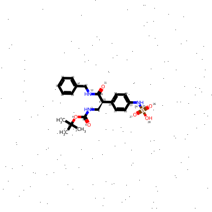 CC(C)(C)OC(=O)NC[C@@H](C(=O)NCc1ccccc1)c1ccc(NS(=O)(=O)O)cc1